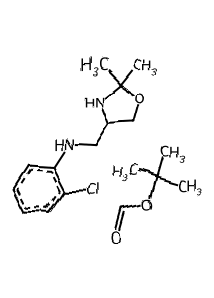 CC(C)(C)OC=O.CC1(C)NC(CNc2ccccc2Cl)CO1